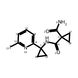 NC(=O)C1(C(=O)NC2(c3cccc(I)n3)CC2)CC1